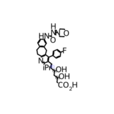 CC(C)c1nc2c(c(-c3ccc(F)cc3)c1/C=C/[C@@H](O)C[C@@H](O)CC(=O)O)Cc1cc(NC(=O)NN3CCOCC3)ccc1CC2